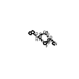 CN1CC(=O)N2C[C@@H](NC(=O)Cc3cccc4ccccc34)C[C@H]2COc2ccc(F)cc2C(=O)N(C)[C@H](C(=O)NCc2cccnc2)CCC1=O